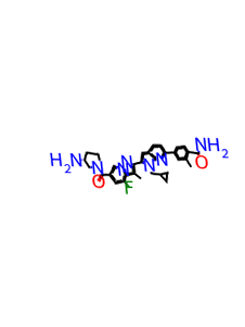 Cc1cc(-c2ccc3cc(-c4nn5cc(C(=O)N6CCC[C@@H](N)C6)cc(F)c5c4C)n(CC4CC4)c3n2)ccc1C(N)=O